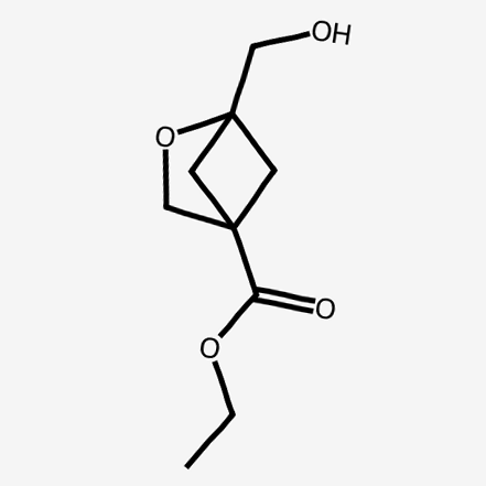 CCOC(=O)C12COC(CO)(C1)C2